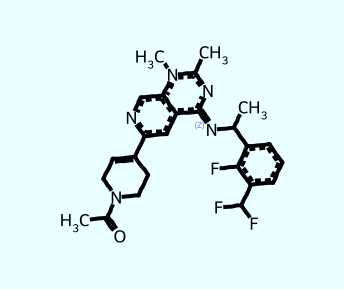 CC(=O)N1CC=C(c2cc3/c(=N/C(C)c4cccc(C(F)F)c4F)nc(C)n(C)c3cn2)CC1